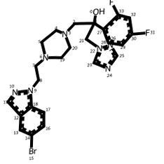 OC(CN1CCN(CCn2ncc3cc(Br)ccc32)CC1)(Cn1cncn1)c1ccc(F)cc1F